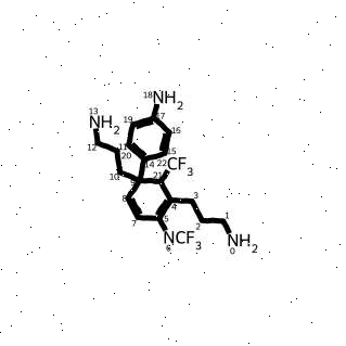 NCCCC1=C(NC(F)(F)F)C=CC(CCCN)(c2ccc(N)cc2)C1C(F)(F)F